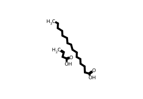 C=CCC(=O)O.CCCCCCCCCCCCCCCC(=O)O